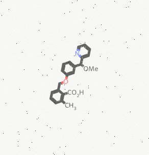 COC(c1cccc(OCc2cccc(C)c2C(=O)O)c1)c1ccccn1